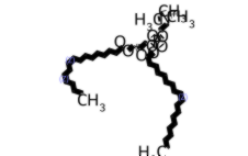 CCCC/C=C\C/C=C\CCCCCCCC(=O)OC[C@H](COP(=O)([O-])OCC[N+](C)(C)C)OC(=O)CCCCCCC/C=C\CCCCCCCCC